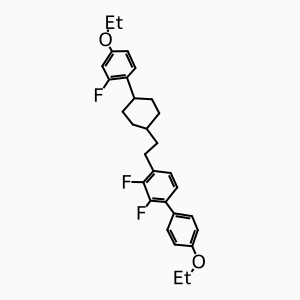 CCOc1ccc(-c2ccc(CCC3CCC(c4ccc(OCC)cc4F)CC3)c(F)c2F)cc1